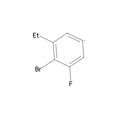 CCc1c[c]cc(F)c1Br